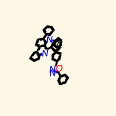 c1ccc(-c2nnc(-c3ccc(-c4cccc(-n5c6ccccc6c6ccc7c8ccccc8nc(-c8ccccc8)c7c65)c4)cc3)o2)cc1